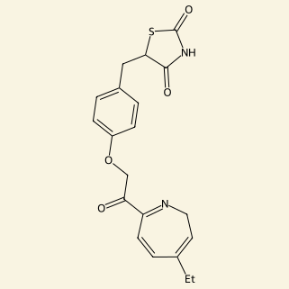 CCC1=CCN=C(C(=O)COc2ccc(CC3SC(=O)NC3=O)cc2)C=C1